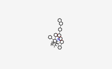 CC1(C)c2ccccc2-c2cccc(N(c3ccc(-c4ccc(-c5ccc6ccccc6c5)cc4)cc3)c3cccc(-c4ccccc4)c3-c3ccccc3-c3ccccc3)c21